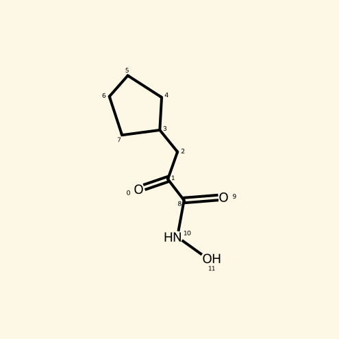 O=C(CC1CCCC1)C(=O)NO